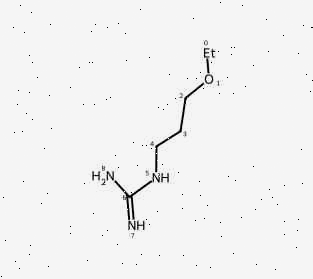 CCOCCCNC(=N)N